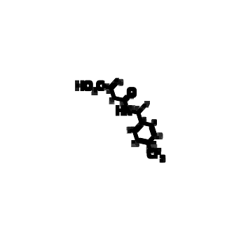 C=C(CC(=O)NC(C)c1ccc(C(F)(F)F)cc1)C(=O)O